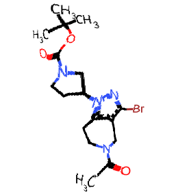 CC(=O)N1CCc2c(c(Br)nn2C2CCN(C(=O)OC(C)(C)C)C2)C1